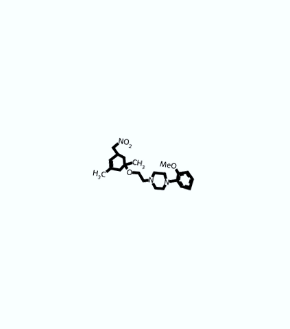 COc1ccccc1N1CCN(CCOC2(C)CC(C)=CC(C[N+](=O)[O-])C2)CC1